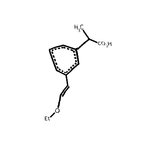 CCO/C=C/c1cccc(C(C)C(=O)O)c1